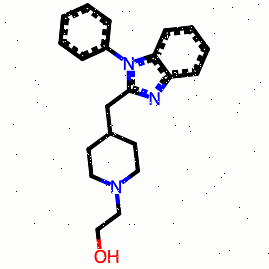 OCCN1CCC(Cc2nc3ccccc3n2-c2ccccc2)CC1